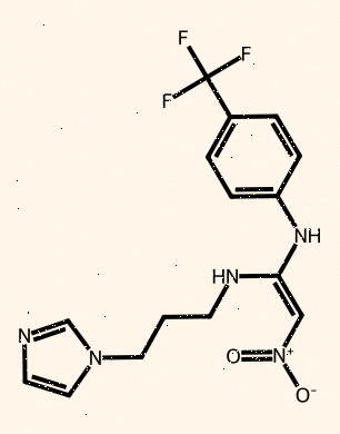 O=[N+]([O-])/C=C(\NCCCn1ccnc1)Nc1ccc(C(F)(F)F)cc1